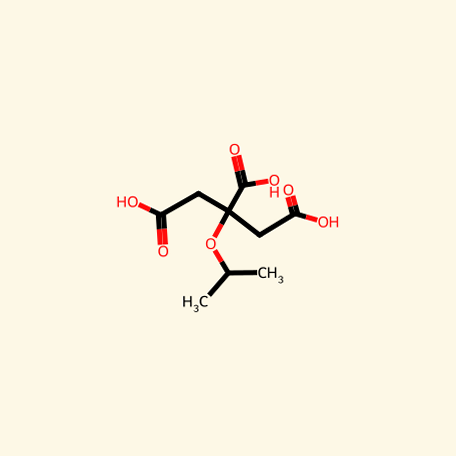 CC(C)OC(CC(=O)O)(CC(=O)O)C(=O)O